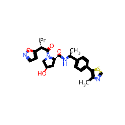 Cc1ncsc1-c1ccc([C@H](C)NC(=O)[C@@H]2C[C@@H](O)CN2C(=O)[C@H](c2ccno2)C(C)C)cc1